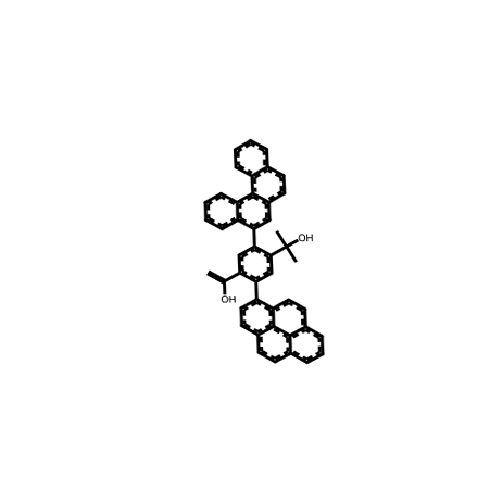 C=C(O)c1cc(-c2cc3ccc4ccccc4c3c3ccccc23)c(C(C)(C)O)cc1-c1ccc2ccc3cccc4ccc1c2c34